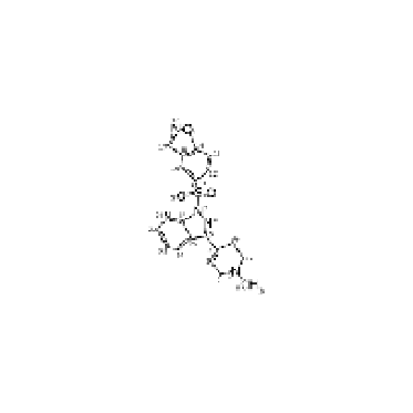 CN1CC=C(c2nn(S(=O)(=O)c3ccc4oncc4c3)c3ncccc23)CC1